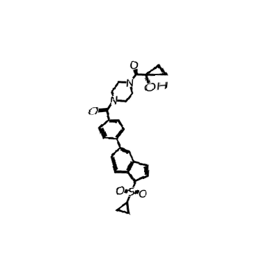 O=C(c1ccc(-c2ccc3c(c2)C=CC3S(=O)(=O)C2CC2)cc1)N1CCN(C(=O)C2(O)CC2)CC1